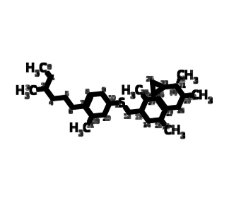 CCC(C)CCCC1=CCC(SCC2CC(C)C(CC(C)[C@@H](C)C3CC3)=CC2C)CC1C